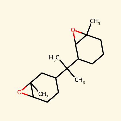 CC12CC(C(C)(C)C3CCCC4(C)OC34)CCC1O2